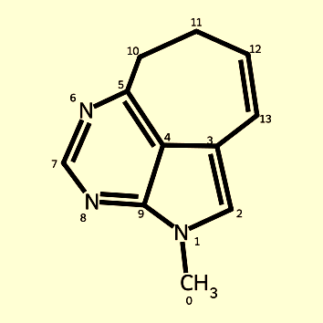 Cn1cc2c3c(ncnc31)CCC=C2